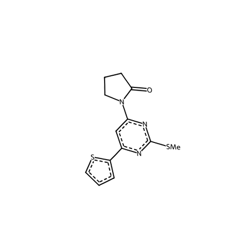 CSc1nc(-c2cccs2)cc(N2CCCC2=O)n1